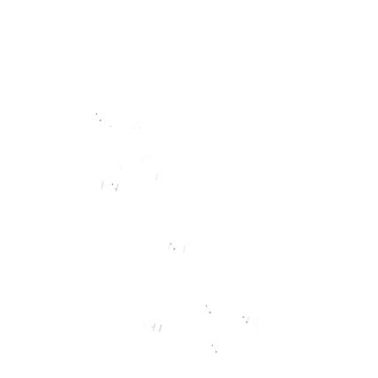 CCOc1ccn(-c2ccc(F)cc2)c(=O)c1C(=O)Nc1ccc(Nc2ccc(O)c(-c3ccnc(N)n3)c2)cc1F